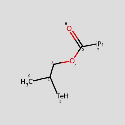 CC([TeH])COC(=O)C(C)C